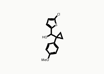 COc1ccc(C2(C(O)c3ccc(Cl)s3)CC2)cc1